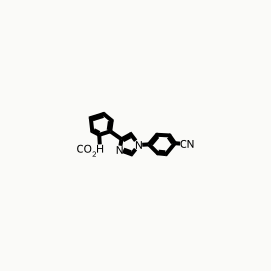 N#Cc1ccc(-n2cnc(-c3ccccc3C(=O)O)c2)cc1